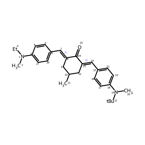 CCN(C)c1ccc(/C=C2\CC(C)C/C(=C\c3ccc(N(C)C(C)(C)C)cc3)C2=O)cc1